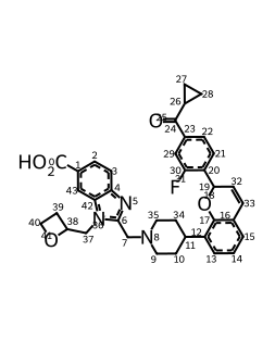 O=C(O)c1ccc2nc(CN3CCC(c4cccc5c4OC(c4ccc(C(=O)C6CC6)cc4F)C=C5)CC3)n(CC3CCO3)c2c1